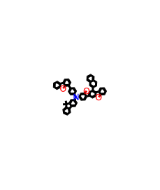 CC1(C)c2ccccc2-c2ccc(N(c3ccc(-c4cccc5c4oc4ccccc45)cc3)c3ccc4c(c3)oc3c(C5=Cc6ccccc6CC5)c5c(cc34)oc3ccccc35)cc21